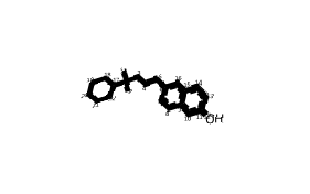 CC(C)(C/C=C/c1ccc2cc(O)ccc2c1)C1CCCCC1